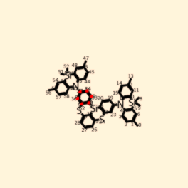 Cc1ccc2c(c1)[Si](C)(C)c1cc(C)ccc1N2c1ccc2c(c1)Sc1cccc3c1[Si]2(c1ccccc1)c1ccc(N2c4ccc(C)cc4[Si](C)(C)c4cc(C)ccc42)cc1S3